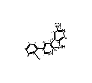 Cc1ccccc1-c1cnc2[nH]c3cnc(C#N)cc3c2c1